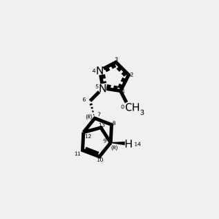 Cc1ccnn1C[C@@H]1C[C@@H]2C=CC1C2